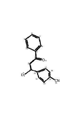 CCC(CC(=O)c1ccccc1)c1ccc(C#N)cc1